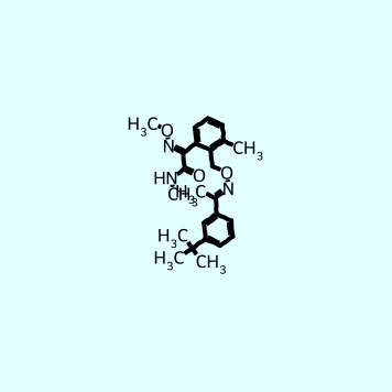 CNC(=O)/C(=N/OC)c1cccc(C)c1CO/N=C(\C)c1cccc(C(C)(C)C)c1